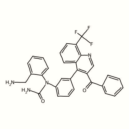 NCc1ccccc1N(C(N)=O)c1cccc(-c2c(C(=O)c3ccccc3)cnc3c(C(F)(F)F)cccc23)c1